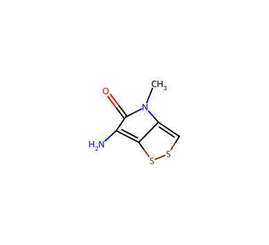 Cn1c2cssc-2c(N)c1=O